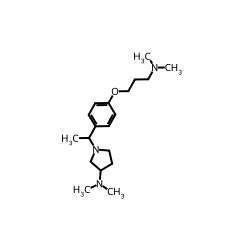 CC(c1ccc(OCCCN(C)C)cc1)N1CCC(N(C)C)C1